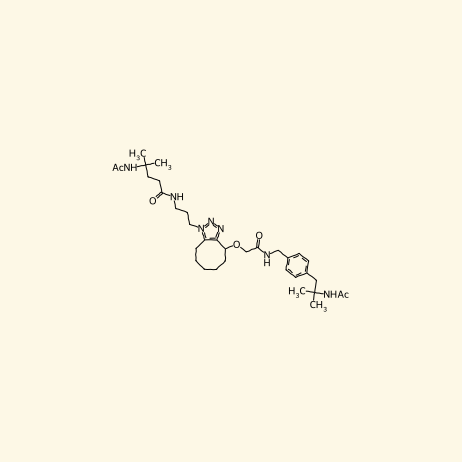 CC(=O)NC(C)(C)CCC(=O)NCCCn1nnc2c1CCCCCC2OCC(=O)NCc1ccc(CC(C)(C)NC(C)=O)cc1